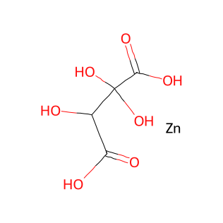 O=C(O)C(O)C(O)(O)C(=O)O.[Zn]